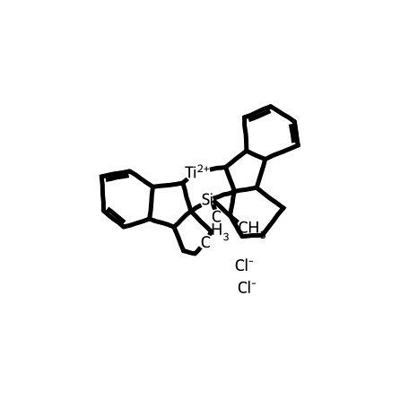 C[Si]1(C)C23CCCCC2C2C=CC=CC2[CH]3[Ti+2][CH]2C3C=CC=CC3C3CCCCC321.[Cl-].[Cl-]